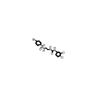 O=C(NCCNS(=O)(=O)c1ccc(Br)cc1)Nc1ccc(Cl)c(Cl)c1